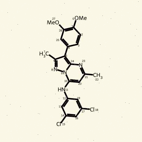 COc1ccc(-c2c(C)nn3c(Nc4cc(Cl)cc(Cl)c4)cc(C)nc23)cc1OC